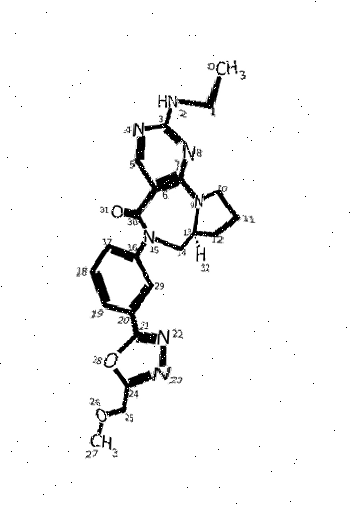 CCNc1ncc2c(n1)N1CCC[C@H]1CN(c1cccc(-c3nnc(COC)o3)c1)C2=O